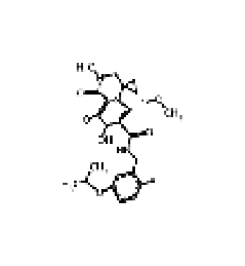 COC[C@H]1C[C@@]12CN(C)C(=O)C1=C(O)C(O)C(C(=O)NCc3cc(OC(C)C)ccc3F)=CN12